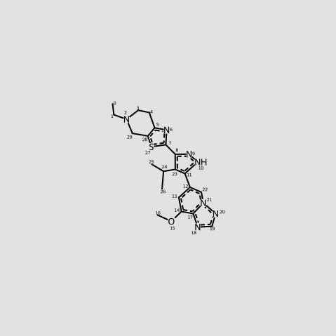 CCN1CCc2nc(-c3n[nH]c(-c4cc(OC)c5ncnn5c4)c3C(C)C)sc2C1